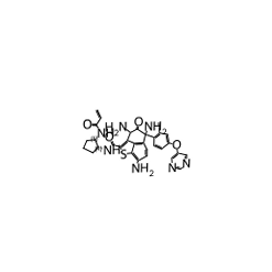 C=CC(=O)N[C@H]1CCC[C@H]1NC(=O)c1sc2c(N)ccc3c2c1C(N)C(=O)C3(N)c1ccc(Oc2cncnc2)cc1C